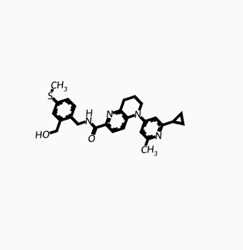 CSc1ccc(CNC(=O)c2ccc3c(n2)CCCN3c2cc(C)nc(C3CC3)c2)c(CO)c1